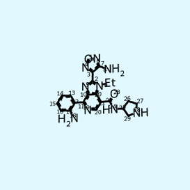 CCn1c(-c2nonc2N)nc2c(-c3ccccc3N)ncc(C(=O)NC3CCNC3)c21